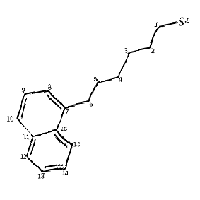 [S]CCCCCCc1cccc2ccccc12